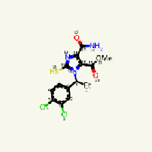 CCC(c1ccc(Cl)c(Cl)c1)n1c(S)nc(C(N)=O)c1C(=O)OC